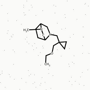 CCOCC1(CN2CC3CCC2CN3C)CC1